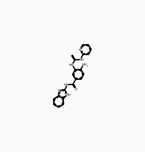 C=C(Nc1ccccn1)Nc1cc(C(=O)Nc2nc3ccccc3[nH]2)ccc1N